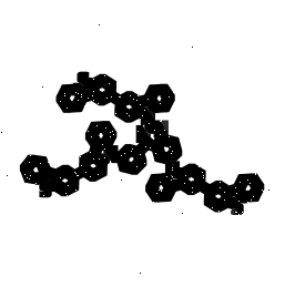 c1cc(-c2nc(-n3c4ccccc4c4cc(-c5ccc6sc7ccccc7c6c5)ccc43)nc3ccc(-n4c5ccccc5c5cc(-c6ccc7sc8ccccc8c7c6)ccc54)cc23)cc(-n2c3ccccc3c3cc(-c4ccc5sc6ccccc6c5c4)ccc32)c1